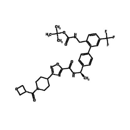 C[C@@H](NC(=O)c1nc(C2CCN(C(=O)C3COC3)CC2)no1)c1ccc(-c2cc(C(F)(F)F)ccc2CNC(=O)OC(C)(C)C)cc1